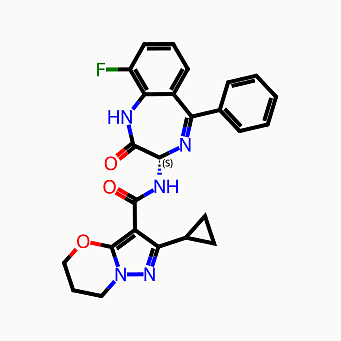 O=C(N[C@H]1N=C(c2ccccc2)c2cccc(F)c2NC1=O)c1c(C2CC2)nn2c1OCCC2